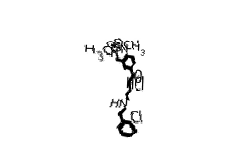 CN1Cc2cc(C(=O)CCCCNCCc3ccccc3Cl)ccc2N(C)S1(=O)=O.Cl